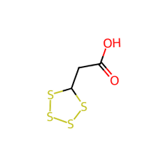 O=C(O)CC1SSSS1